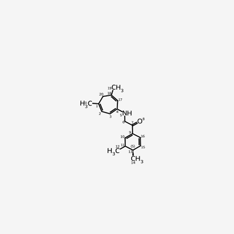 CC1=CC=C(NCC(=O)C2=CC(C)[C@H](C)C=C2)C=C(C)C1